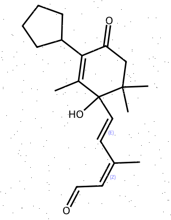 CC1=C(C2CCCC2)C(=O)CC(C)(C)C1(O)/C=C/C(C)=C\C=O